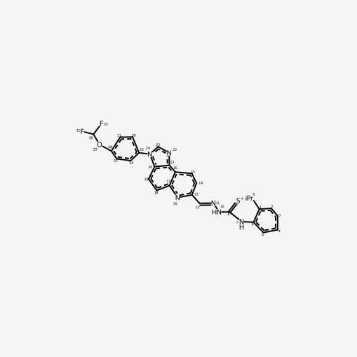 CC(C)c1ccccc1NC(=S)N/N=C/c1ccc2c(ccc3c2ncn3-c2ccc(OC(F)F)cc2)n1